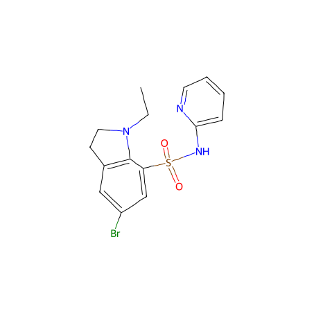 CCN1CCc2cc(Br)cc(S(=O)(=O)Nc3ccccn3)c21